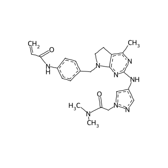 C=CC(=O)Nc1ccc(CN2CCc3c(C)nc(Nc4cnn(CC(=O)N(C)C)c4)nc32)cc1